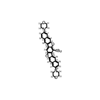 CC(C)(C)c1c2oc3cc4cc(N5CCOCC5)ccc4cc3c2cc2oc3cc4cc(N5CCOCC5)ccc4cc3c12